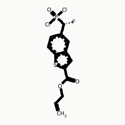 C=CCOC(=O)c1cc2cc([C@@H](F)P(=O)(Cl)Cl)ccc2s1